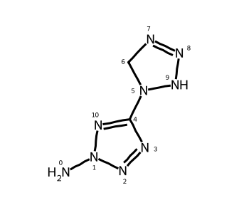 Nn1nnc(N2CN=NN2)n1